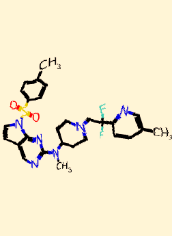 Cc1ccc(S(=O)(=O)n2ccc3cnc(N(C)C4CCN(CC(F)(F)c5ccc(C)cn5)CC4)nc32)cc1